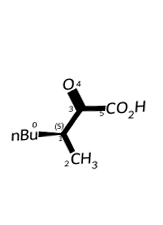 CCCC[C@H](C)C(=O)C(=O)O